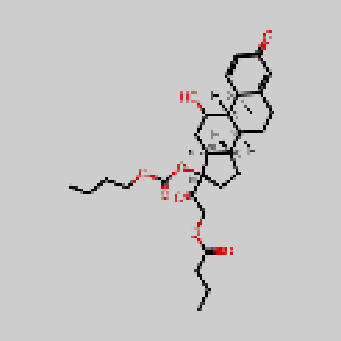 CCCCOC(=O)O[C@]1(C(=O)COC(=O)CCC)CC[C@H]2[C@@H]3CCC4=CC(=O)C=C[C@]4(C)[C@H]3C(O)C[C@@]21C